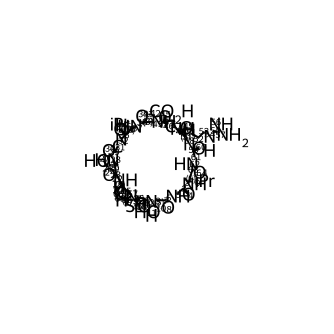 CC(C)[C@@H]1NC(=O)CNC(=O)[C@H](CO)NC(=O)[C@@H]2CS[C@H]3CC[C@H](NC(=O)[C@H](CO)NC(=O)CNC(=O)[C@H](C(C)C)NC(=O)[C@H](CC(=O)O)NC(=O)CNC(=O)[C@H](CCCNC(=N)N)NC(=O)CNC1=O)C(=O)N32